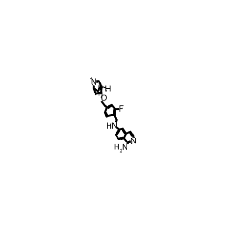 CN1C[C@H]2CC1C[C@H]2OCc1ccc(CNc2ccc3c(N)nccc3c2)c(F)c1